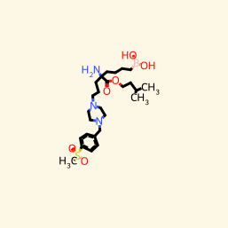 CC(C)CCOC(=O)C(N)(CCCCB(O)O)CCCN1CCN(Cc2ccc(S(C)(=O)=O)cc2)CC1